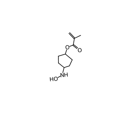 C=C(C)C(=O)OC1CCC(NO)CC1